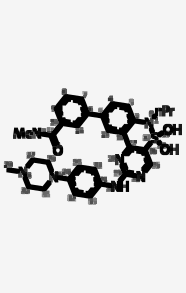 CCCN1c2ccc(-c3cccc(C(=O)NC)c3)cc2-c2nc(Nc3ccc(N4CCN(C)CC4)cc3)ncc2S1(O)O